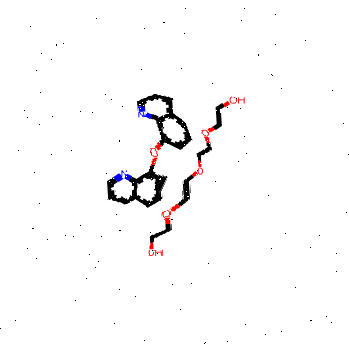 OCCOCCOCCOCCO.c1cnc2c(Oc3cccc4cccnc34)cccc2c1